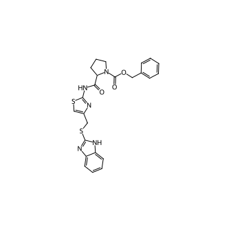 O=C(Nc1nc(CSc2nc3ccccc3[nH]2)cs1)C1CCCN1C(=O)OCc1ccccc1